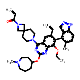 C=CC(=O)N1CC2(CCN(c3nc(OC4CCCN(C)CC4)nc4c(OCC(F)(F)F)c(-c5c(C)ccc6[nH]ncc56)c(C=C)cc34)CC2)C1